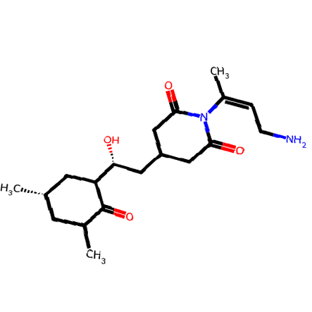 C/C(=C/CN)N1C(=O)CC(C[C@@H](O)C2C[C@@H](C)CC(C)C2=O)CC1=O